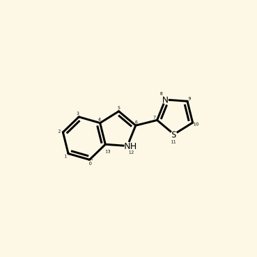 [c]1cccc2cc(-c3nccs3)[nH]c12